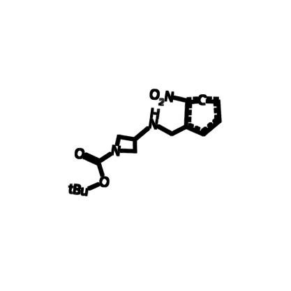 CC(C)(C)OC(=O)N1CC(NCc2ccccc2[N+](=O)[O-])C1